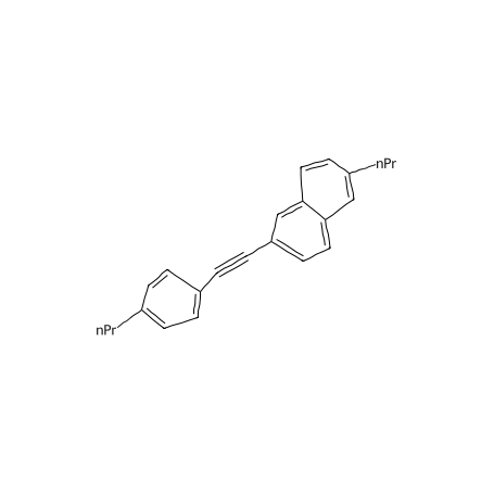 CCCc1ccc(C#Cc2ccc3cc(CCC)ccc3c2)cc1